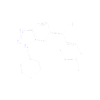 Clc1ccc(C(Cl)c2ccc3nnn(C4CCCCC4)c3c2)cc1